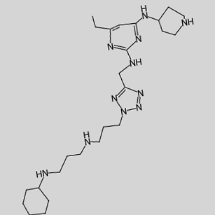 CCc1cc(NC2CCNCC2)nc(NCc2nnn(CCCNCCCNC3CCCCC3)n2)n1